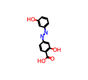 O=C(O)c1ccc(N=Nc2cccc(O)c2)cc1O